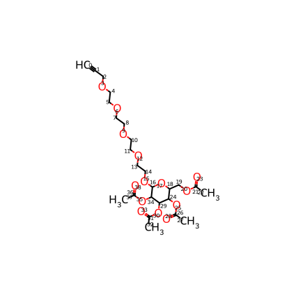 C#CCOCCOCCOCCOCCOC1OC(COC(C)=O)C(OC(C)=O)C(OC(C)=O)C1OC(C)=O